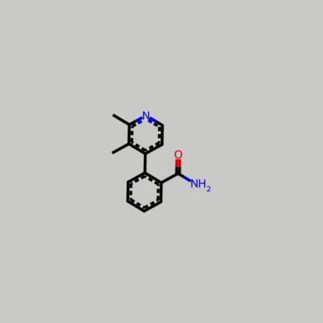 Cc1nccc(-c2ccccc2C(N)=O)c1C